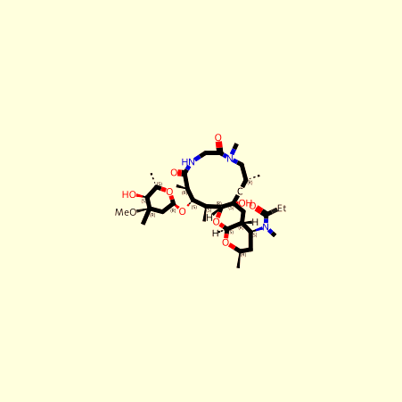 CCC(=O)N(C)[C@H]1C[C@@H](C)O[C@H]2O[C@@H]3[C@@H](C)[C@H](O[C@H]4C[C@@](C)(OC)[C@@H](O)[C@H](C)O4)[C@@H](C)C(=O)NCC(=O)N(C)C[C@H](C)C[C@]3(O)C[C@@H]21